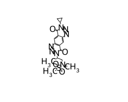 CC(CN(C)S(C)(=O)=O)n1nnc2cc3c(=O)n(C4CC4)nnc3cc2c1=O